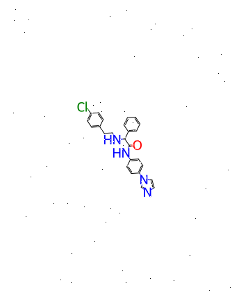 O=C(Nc1ccc(-n2ccnc2)cc1)C(NCCc1ccc(Cl)cc1)c1ccccc1